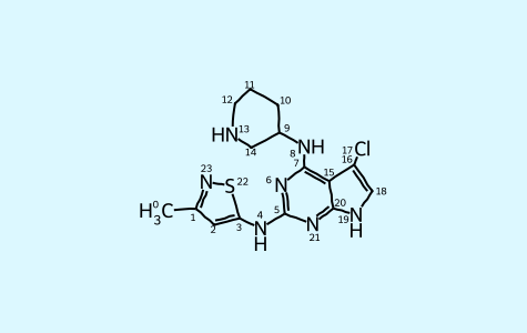 Cc1cc(Nc2nc(NC3CCCNC3)c3c(Cl)c[nH]c3n2)sn1